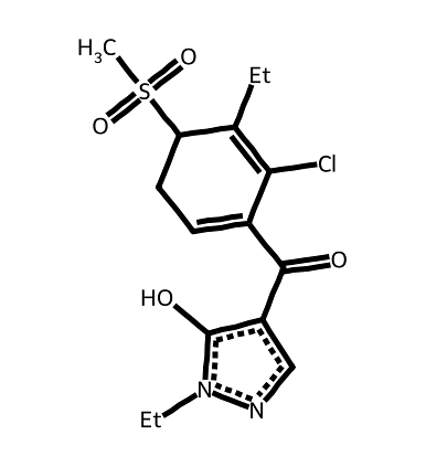 CCC1=C(Cl)C(C(=O)c2cnn(CC)c2O)=CCC1S(C)(=O)=O